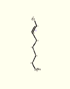 [CH2]C/C=[C]/CCCCCCCC